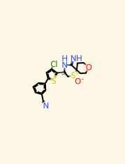 N#Cc1cccc(-c2cc(Cl)c([C@@H]3C[S+]([O-])C4(CCOCC4)C(=N)N3)s2)c1